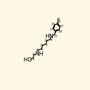 OCCNCCCCCCNCc1ccc(F)cc1